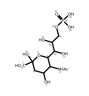 CC(=O)NC1C(O)CC(O)(C(=O)O)OC1C(O)C(O)COP(=O)(O)O